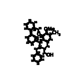 COc1c(C)cc(C[C@@H](CO)N(Cc2ccccc2)Cc2ccccc2)cc1OCc1ccccc1